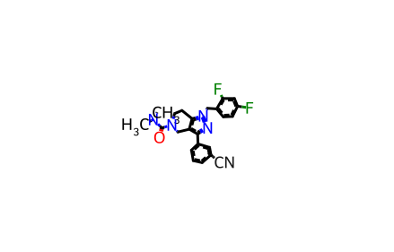 CN(C)C(=O)N1CCc2c(c(-c3cccc(C#N)c3)nn2Cc2ccc(F)cc2F)C1